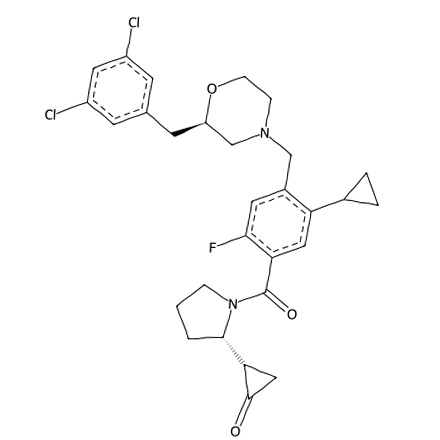 O=C1CC1[C@@H]1CCCN1C(=O)c1cc(C2CC2)c(CN2CCO[C@H](Cc3cc(Cl)cc(Cl)c3)C2)cc1F